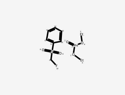 CCO[PH](=O)OCC.O=S(=O)(CF)c1ccccc1